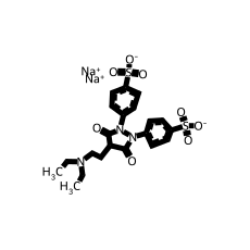 CCN(CC)CCC1C(=O)N(c2ccc(S(=O)(=O)[O-])cc2)N(c2ccc(S(=O)(=O)[O-])cc2)C1=O.[Na+].[Na+]